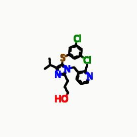 Cc1ncccc1Cn1c(CCCO)nc(C(C)C)c1Sc1cc(Cl)cc(Cl)c1